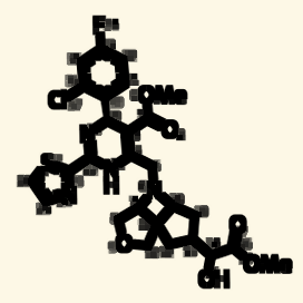 COC(=O)C1=C(CN2C3COCC34CC(C(O)C(=O)OC)CC24)NC(c2nccs2)=N[C@H]1c1ccc(F)cc1Cl